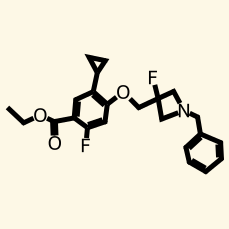 CCOC(=O)c1cc(C2CC2)c(OCC2(F)CN(Cc3ccccc3)C2)cc1F